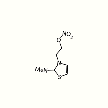 CNC1SC=CN1CCO[N+](=O)[O-]